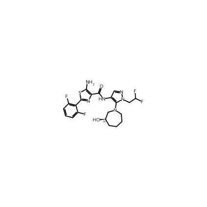 Nc1sc(-c2c(F)cccc2F)nc1C(=O)Nc1cnn(CC(F)F)c1N1CCCC[C@@H](O)C1